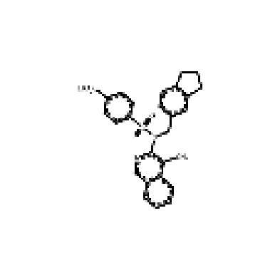 CCOC(=O)c1ccc(S(=O)(=O)N(Cc2ccc3c(c2)CCC3)c2ncc3ccccc3c2C)cc1